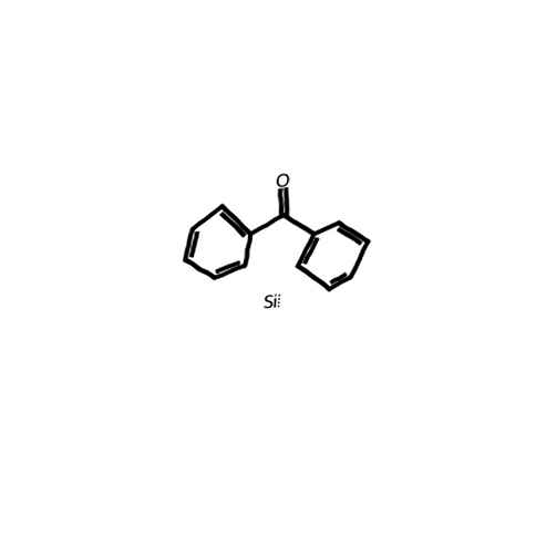 O=C(c1ccccc1)c1ccccc1.[Si]